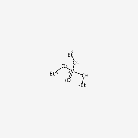 CC[O][V-](=[O])([O]CC)[O]CC